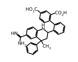 CC1(c2ccccc2)CC(c2ccccc2-c2ccc(C(=O)O)cc2C(=O)O)Nc2ccc(C(=N)N)cc21